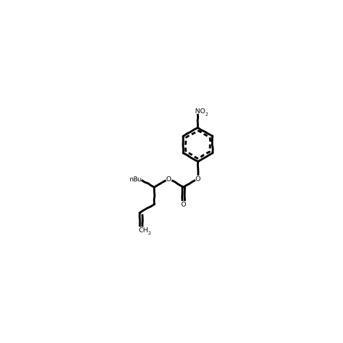 C=CCC(CCCC)OC(=O)Oc1ccc([N+](=O)[O-])cc1